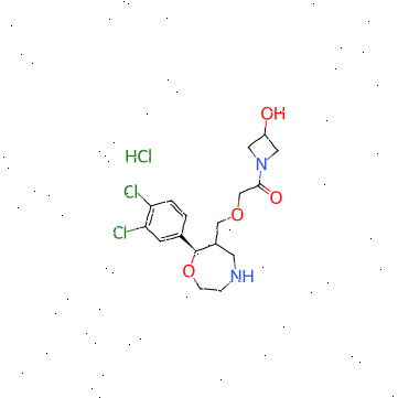 Cl.O=C(COCC1CNCCO[C@H]1c1ccc(Cl)c(Cl)c1)N1CC(O)C1